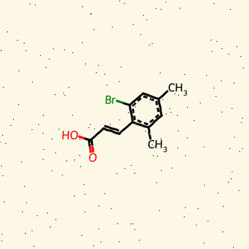 Cc1cc(C)c(/C=C/C(=O)O)c(Br)c1